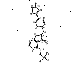 CC(F)(F)COc1nccc2c1C(=O)N(Cc1ccc(-c3cn[nH]c3)cc1)C2